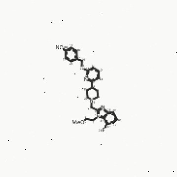 COCCn1c(CN2CCC(c3cccc(OCc4ccc(C#N)cc4)n3)CC2)nc2cccc(F)c21